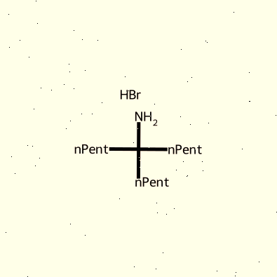 Br.CCCCCC(N)(CCCCC)CCCCC